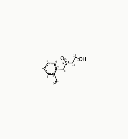 C=Cc1ccccc1C[S+]([O-])CCO